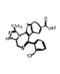 CC1=NNC2CN=C(c3ccccc3Cl)c3c(sc4c3C[C@H](C(=O)O)C4)N12